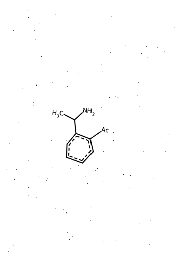 CC(=O)c1ccccc1C(C)N